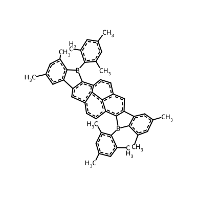 Cc1cc(C)c(B2c3c(C)cc(C)cc3-c3cc4ccc5c6c(cc7ccc(c32)c4c75)-c2cc(C)cc(C)c2B6c2c(C)cc(C)cc2C)c(C)c1